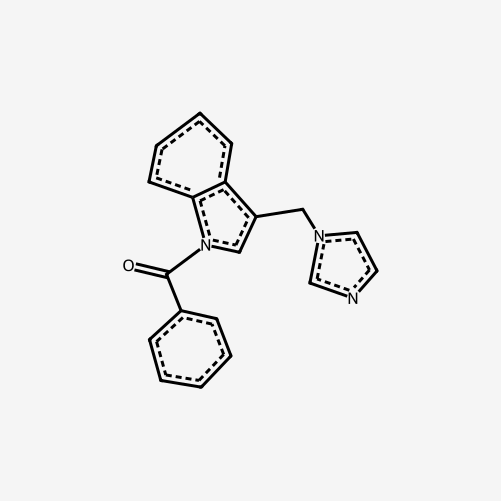 O=C(c1ccccc1)n1cc(Cn2ccnc2)c2ccccc21